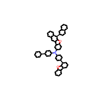 c1ccc(-c2ccc(N(c3ccc(-c4cccc5c4oc4ccccc45)cc3)c3ccc4oc5c(-c6ccc7ccccc7c6)c6ccccc6cc5c4c3)cc2)cc1